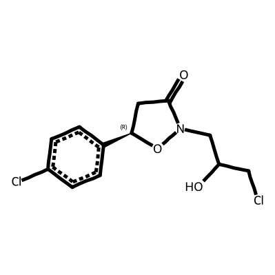 O=C1C[C@H](c2ccc(Cl)cc2)ON1CC(O)CCl